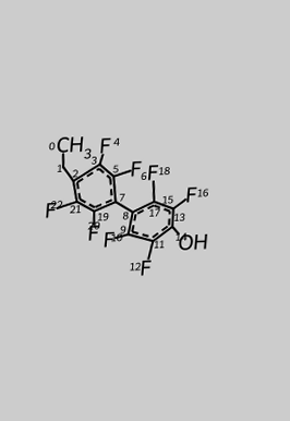 CCc1c(F)c(F)c(-c2c(F)c(F)c(O)c(F)c2F)c(F)c1F